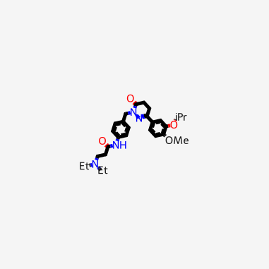 CCN(CC)CCC(=O)Nc1ccc(CN2N=C(c3ccc(OC)c(OC(C)C)c3)CCC2=O)cc1